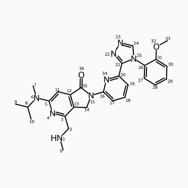 CNCc1nc(N(C)C(C)C)cc2c1CN(c1cccc(-c3nncn3-c3ccccc3OC)n1)C2=O